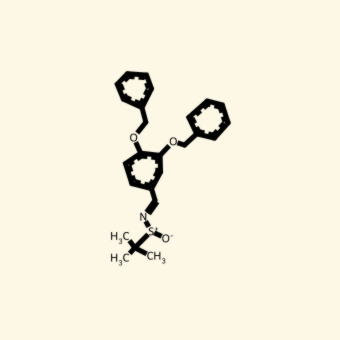 CC(C)(C)[S+]([O-])N=Cc1ccc(OCc2ccccc2)c(OCc2ccccc2)c1